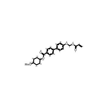 C=CC(=O)OCOc1ccc(-c2ccc(C(=O)OC3CCC(OC)CC3)cc2)cc1